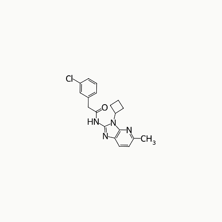 Cc1ccc2nc(NC(=O)Cc3cccc(Cl)c3)n(C3CCC3)c2n1